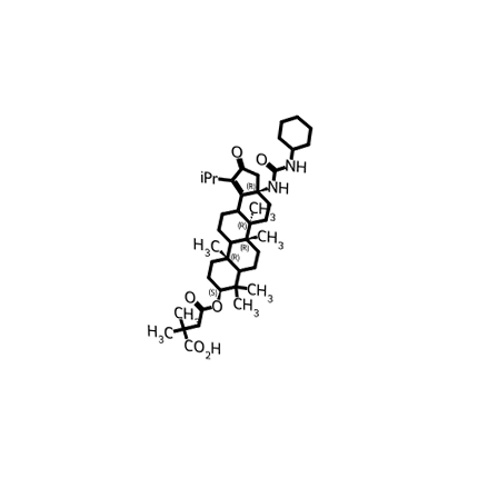 CC(C)C1=C2C3CCC4[C@@]5(C)CC[C@H](OC(=O)CC(C)(C)C(=O)O)C(C)(C)C5CC[C@@]4(C)[C@]3(C)CC[C@@]2(NC(=O)NC2CCCCC2)CC1=O